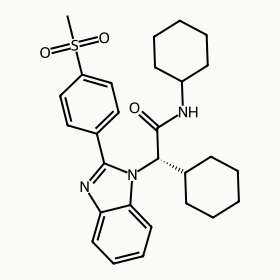 CS(=O)(=O)c1ccc(-c2nc3ccccc3n2[C@H](C(=O)NC2CCCCC2)C2CCCCC2)cc1